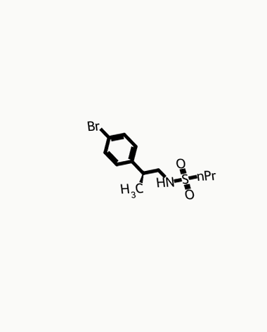 CCCS(=O)(=O)NC[C@@H](C)c1ccc(Br)cc1